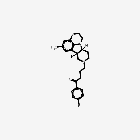 Cc1cc2c3c(c1)[C@H]1CN(CCCC(=O)c4ccc(F)cc4)CC[C@H]1N3CCS2